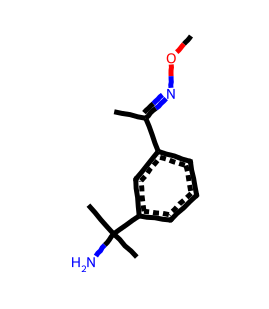 CO/N=C(\C)c1cccc(C(C)(C)N)c1